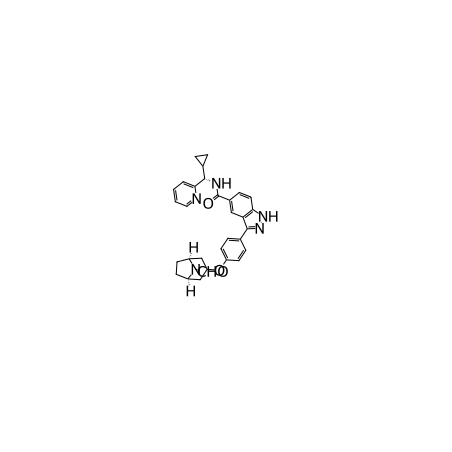 O=CN1[C@@H]2CC[C@H]1CC(Oc1ccc(-c3n[nH]c4ccc(C(=O)N[C@H](c5ccccn5)C5CC5)cc34)cc1)C2